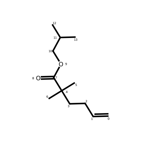 C=CCCC(C)(C)C(=O)OCC(C)C